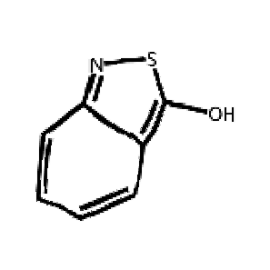 Oc1snc2ccccc12